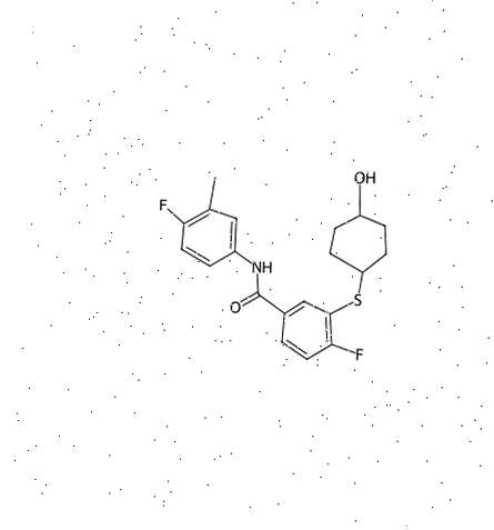 Cc1cc(NC(=O)c2ccc(F)c(SC3CCC(O)CC3)c2)ccc1F